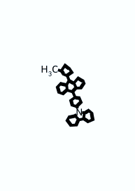 Cc1cccc(-c2c3ccccc3c(-c3ccc(-n4c5ccccc5c5ccccc54)cc3)c3ccccc23)c1